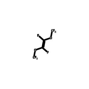 FC(OC(F)(F)F)=C(F)OC(F)(F)F